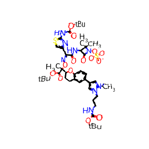 C[n+]1cc(-c2ccc3c(c2)CCC(C(C)(O/N=C(\C(=O)NC2C(=O)N(OS(=O)(=O)[O-])C2(C)C)c2csc(NC(=O)OC(C)(C)C)n2)C(=O)OC(C)(C)C)O3)cn1CCCNC(=O)OC(C)(C)C